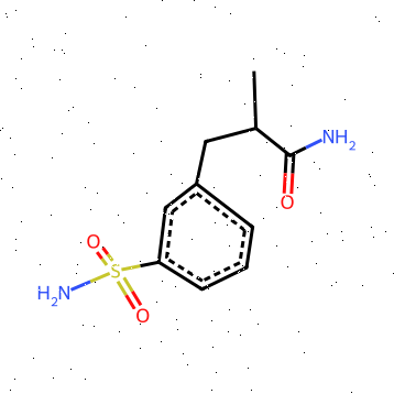 CC(Cc1cccc(S(N)(=O)=O)c1)C(N)=O